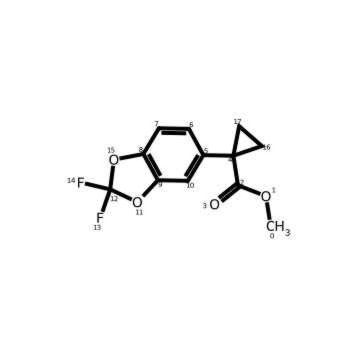 COC(=O)C1(c2ccc3c(c2)OC(F)(F)O3)CC1